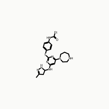 CCC(=O)Nc1ccc(Sc2nc(NC3CC(C)=NN3)cc(N3CCCNCC3)n2)cc1